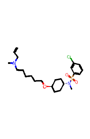 C=CCN(C)CCCCCCO[C@H]1CC[C@H](N(C)S(=O)(=O)c2cccc(Cl)c2)CC1